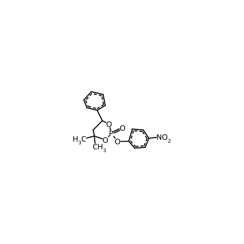 CC1(C)CC(c2ccccc2)OP(=O)(Oc2ccc([N+](=O)[O-])cc2)O1